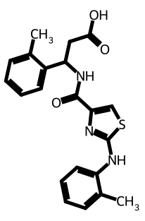 Cc1ccccc1Nc1nc(C(=O)NC(CC(=O)O)c2ccccc2C)cs1